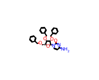 Nc1ccn([C@H]2O[C@@H](COCc3ccccc3)[C@H](OCc3ccccc3)[C@H]2OCc2ccccc2)c(=O)n1